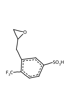 O=S(=O)(O)c1ccc(C(F)(F)F)c(CC2CO2)c1